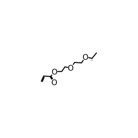 C=CC(=O)OCCOCCO[CH]C